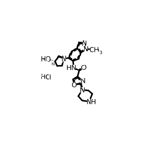 Cl.Cn1ncc2cc(N3CC[C@H](O)C3)c(NC(=O)c3coc(N4CCNCC4)n3)cc21